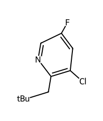 CC(C)(C)Cc1ncc(F)cc1Cl